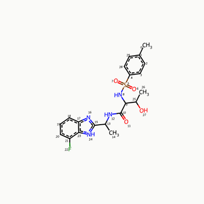 Cc1ccc(S(=O)(=O)NC(C(=O)NC(C)c2nc3cccc(F)c3[nH]2)C(C)O)cc1